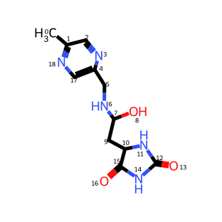 Cc1cnc(CNC(O)CC2NC(=O)NC2=O)cn1